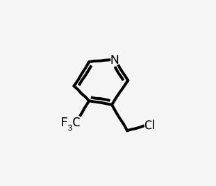 FC(F)(F)c1ccncc1CCl